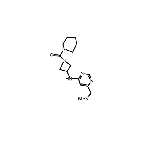 CSCc1cc(NC2CN(C(=O)N3CCCCC3)C2)ncn1